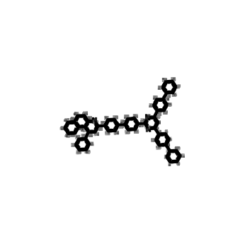 c1ccc(-c2ccc(-c3cc(-c4ccc(-c5ccccc5)cc4)nc(-c4ccc(-c5ccc(-c6cc(-c7ccccc7)c7c(ccc8ccccc87)n6)cc5)cc4)n3)cc2)cc1